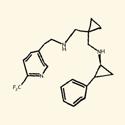 FC(F)(F)c1ccc(CNCC2(CN[C@H]3CC3c3ccccc3)CC2)cn1